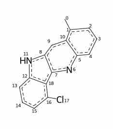 Cc1cccc2nc3c(cc12)[nH]c1cccc(Cl)c13